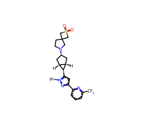 CC(C)n1nc(-c2cccc(C(F)(F)F)n2)cc1[C@H]1[C@@H]2C[C@@H](N3CCC4(C3)CS(=O)(=O)C4)C[C@@H]21